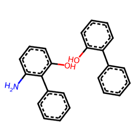 Nc1cccc(O)c1-c1ccccc1.Oc1ccccc1-c1ccccc1